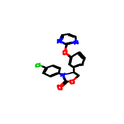 O=C1OCC(c2cccc(Oc3ncccn3)c2)N1c1ccc(Cl)cc1